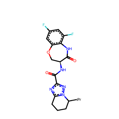 CC(C)C1CCCc2nc(C(=O)N[C@H]3COc4cc(F)cc(F)c4NC3=O)nn21